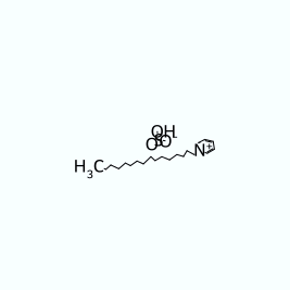 CCCCCCCCCCCCCCCC[n+]1ccccc1.O=S([O-])O